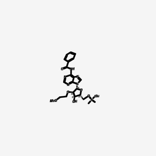 COCCO[C@@H]1[C@H](O)[C@@H](CO[Si](C)(C)C(C)(C)C)O[C@H]1n1cnc2c(NC(=O)c3ccccc3)ncnc21